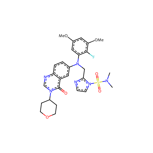 COc1cc(OC)c(F)c(N(Cc2nccn2S(=O)(=O)N(C)C)c2ccc3ncn(C4CCOCC4)c(=O)c3c2)c1